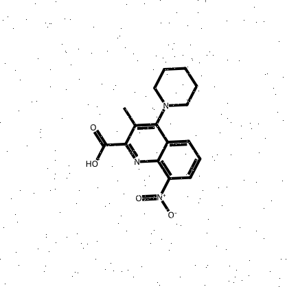 Cc1c(C(=O)O)nc2c([N+](=O)[O-])cccc2c1N1CCCCC1